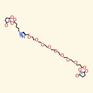 O=C(CCCCn1cc(COCCOCCOCCOCCOCCOCCOCCOCCC(=O)ON2C(=O)CCC2=O)nn1)ON1C(=O)CCC1=O